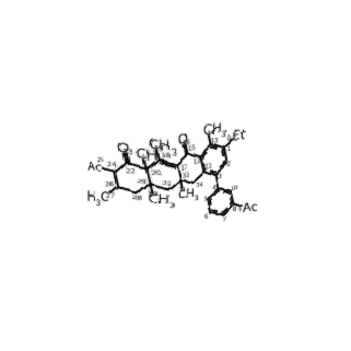 CCc1cc(-c2cccc(C(C)=O)c2)c2c(c1C)C(=O)C1=C(C)C3(C)C(=O)C(C(C)=O)C(C)CC3(C)CC1(C)C2